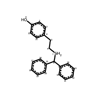 Oc1ccc(CC[SiH2]C(c2ccccc2)c2ccccc2)cc1